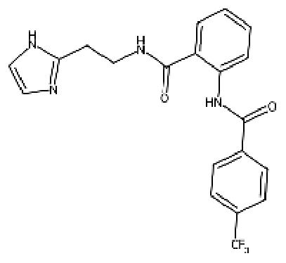 O=C(Nc1ccccc1C(=O)NCCc1ncc[nH]1)c1ccc(C(F)(F)F)cc1